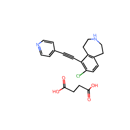 Clc1ccc2c(c1C#Cc1ccncc1)CCNCC2.O=C(O)CCC(=O)O